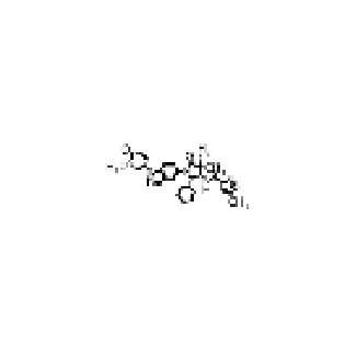 Cc1cc(C(=O)N[C@H]2[C@H](c3ccccc3)N(c3ccc4c(cnn4-c4ccc(=O)n(C)c4)c3)C(=O)C2(C)C)no1